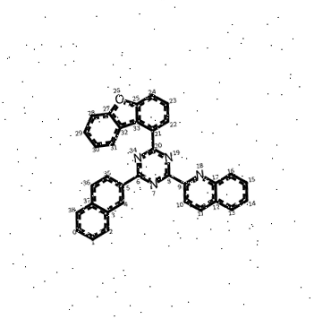 c1ccc2cc(-c3nc(-c4ccc5ccccc5n4)nc(-c4cccc5oc6ccccc6c45)n3)ccc2c1